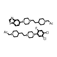 CC(=O)CN1CCC(CCN2CCN(c3cc(Cl)c(Cl)cc3F)CC2)CC1.CC(=O)CN1CCC(CCN2CCN(c3ccc4scnc4c3)CC2)CC1